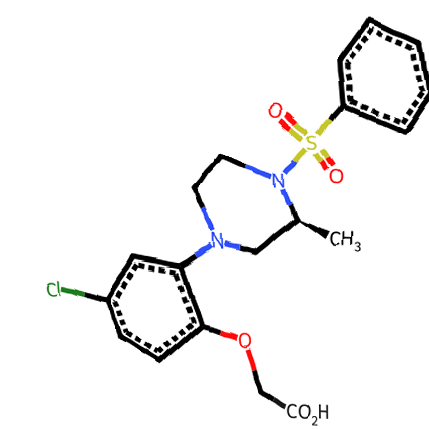 C[C@H]1CN(c2cc(Cl)ccc2OCC(=O)O)CCN1S(=O)(=O)c1ccccc1